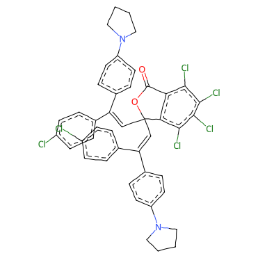 O=C1OC(C=C(c2ccc(Cl)cc2)c2ccc(N3CCCC3)cc2)(C=C(c2ccc(Cl)cc2)c2ccc(N3CCCC3)cc2)c2c(Cl)c(Cl)c(Cl)c(Cl)c21